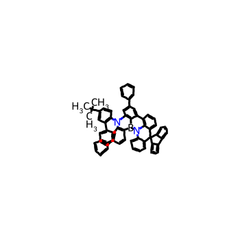 CC(C)(C)c1ccc(N2c3cc(-c4ccccc4)ccc3B3c4c(cc(-c5ccccc5)cc42)-c2cccc4c2N3c2ccccc2C42c3ccccc3-c3ccccc32)c(-c2ccccc2)c1